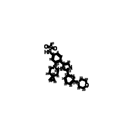 CS(=O)(=O)Nc1ccc(-c2cnc(-c3cccc(N4CCOCC4)n3)[nH]2)c(N2CCC3(CC2)CC3)c1